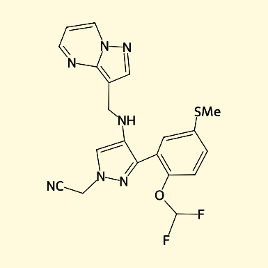 CSc1ccc(OC(F)F)c(-c2nn(CC#N)cc2NCc2cnn3cccnc23)c1